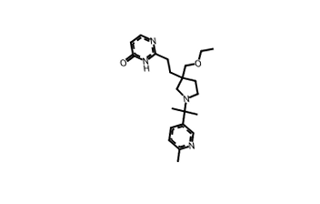 CCOCC1(CCc2nccc(=O)[nH]2)CCN(C(C)(C)c2ccc(C)nc2)C1